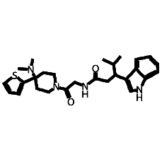 CC(C)C(CC(=O)NCC(=O)N1CCC(c2cccs2)(N(C)C)CC1)c1c[nH]c2ccccc12